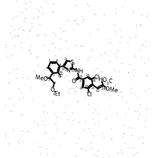 CCOCC(OC)c1cccc(-c2csc(NC(=O)c3cc(Cl)c(/C=C(/OC)C(=O)O)c(Cl)c3)n2)c1F